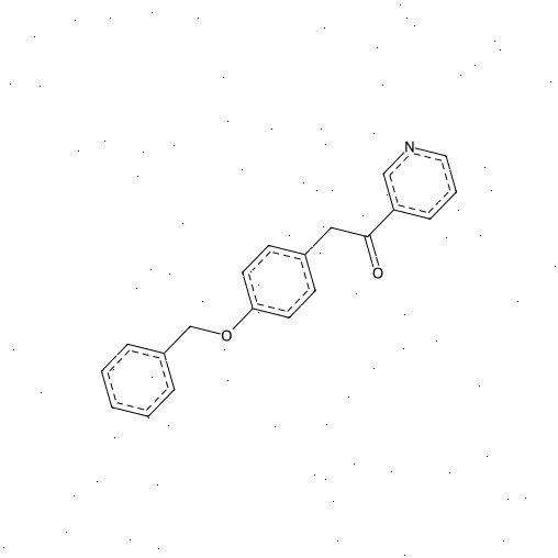 O=C(Cc1ccc(OCc2ccccc2)cc1)c1cccnc1